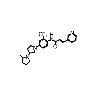 CC1CCCN1C1CCN(c2ccc(NC(=O)/C=C/c3cccnc3)c(C(F)(F)F)c2)C1